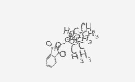 CC(C)(C)OP(=O)(OCON1C(=O)c2ccccc2C1=O)OC(C)(C)C